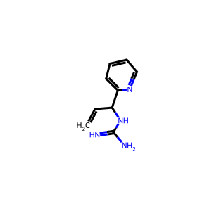 C=CC(NC(=N)N)c1ccccn1